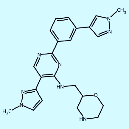 Cn1cc(-c2cccc(-c3ncc(-c4ccn(C)n4)c(NCC4CNCCO4)n3)c2)cn1